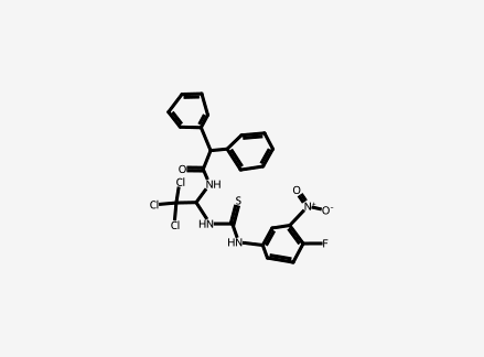 O=C(NC(NC(=S)Nc1ccc(F)c([N+](=O)[O-])c1)C(Cl)(Cl)Cl)C(c1ccccc1)c1ccccc1